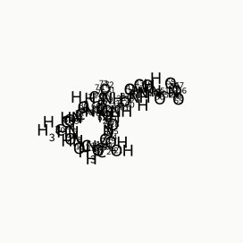 CC[C@H](C)[C@@H]1NC(=O)NC(=O)CNC(=O)[C@H]([C@@H](C)[C@@H](O)CO)CC2CCN2C(=O)[C@H](CC(=O)NCc2ccc(NC(=O)[C@H](C)NC(=O)CNC(=O)CCN3C(=O)C=CC3=O)cc2)NC(=O)[C@H](CSc2[nH]c3ccccc3c2C)NC(=O)CNC1=O